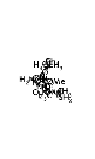 COc1cc(N(C)CCN(C)C)c([N+](=O)[O-])cc1-c1nn(COCC[Si](C)(C)C)c2nc(N)nc(N)c12